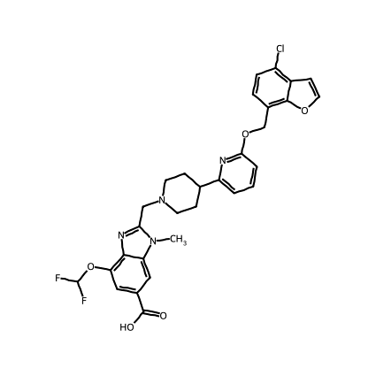 Cn1c(CN2CCC(c3cccc(OCc4ccc(Cl)c5ccoc45)n3)CC2)nc2c(OC(F)F)cc(C(=O)O)cc21